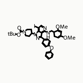 COC1=CCC(CNc2ncc(I)c3c2c(-c2ccc(Oc4ccccc4)cc2)nn3C2CCN(C(=O)OC(C)(C)C)CC2)C(OC)=C1